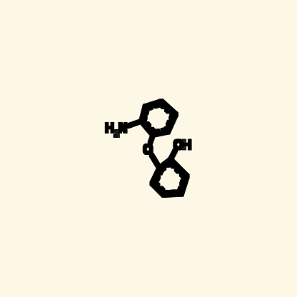 Nc1ccccc1Oc1ccccc1O